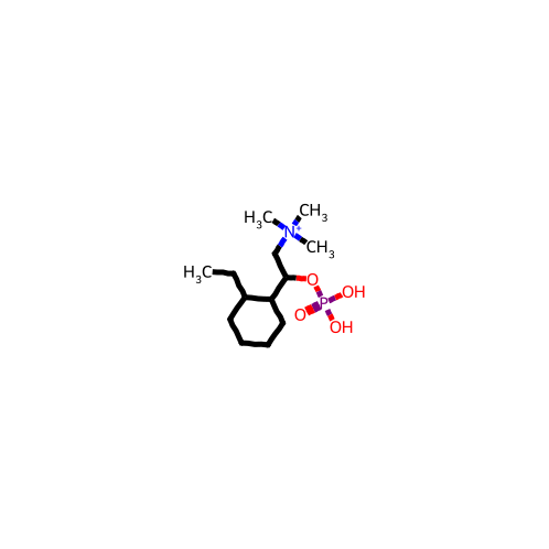 CCC1CCCCC1C(C[N+](C)(C)C)OP(=O)(O)O